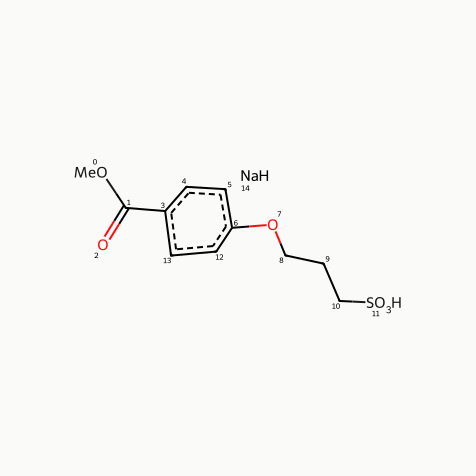 COC(=O)c1ccc(OCCCS(=O)(=O)O)cc1.[NaH]